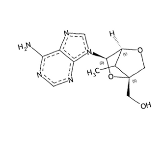 CC1[C@@H]2OC[C@]1(CO)O[C@H]2n1cnc2c(N)ncnc21